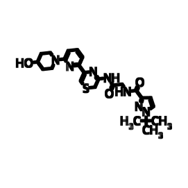 CC(C)(C)n1ccc(C(=O)NCC(=O)NC2=NC(c3cccc(N4CCC(O)CC4)n3)=CSC2)n1